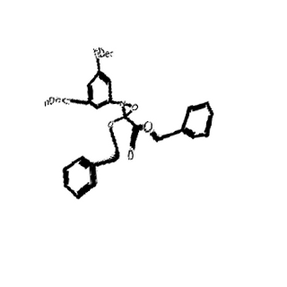 CCCCCCCCCCc1cc(CCCCCCCCCC)cc(N2OC2(OCc2ccccc2)C(=O)OCc2ccccc2)c1